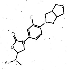 CC(=O)N(C)C1CN(c2ccc(N3CC4CSCC4C3)c(F)c2)C(=O)O1